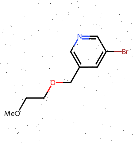 COCCOCc1cncc(Br)c1